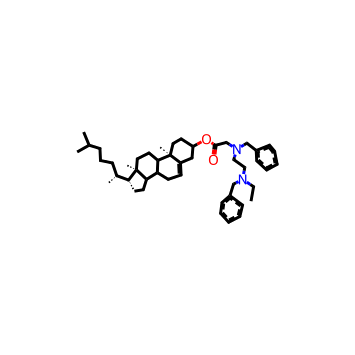 CCN(CCN(CC(=O)OC1CC[C@@]2(C)C(=CCC3C2CC[C@@]2(C)C3CC[C@@H]2[C@H](C)CCCC(C)C)C1)Cc1ccccc1)Cc1ccccc1